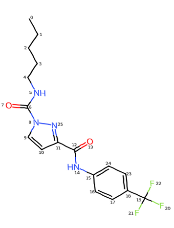 CCCCCNC(=O)n1ccc(C(=O)Nc2ccc(C(F)(F)F)cc2)n1